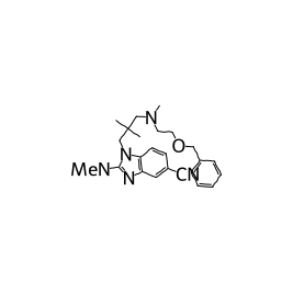 CNc1nc2cc(C#N)ccc2n1CC(C)(C)CN(C)CCOCc1ccccc1